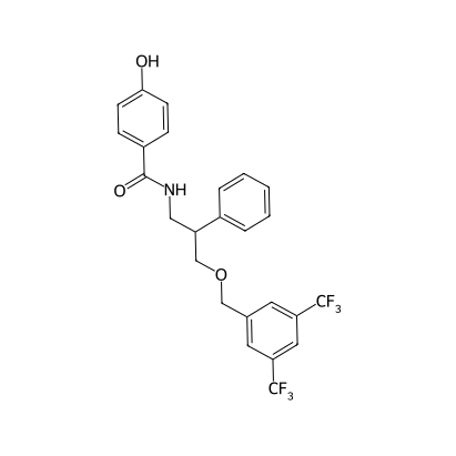 O=C(NCC(COCc1cc(C(F)(F)F)cc(C(F)(F)F)c1)c1ccccc1)c1ccc(O)cc1